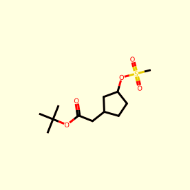 CC(C)(C)OC(=O)CC1CCC(OS(C)(=O)=O)C1